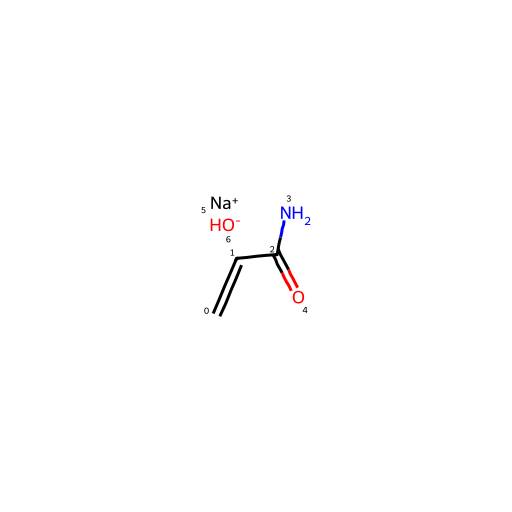 C=CC(N)=O.[Na+].[OH-]